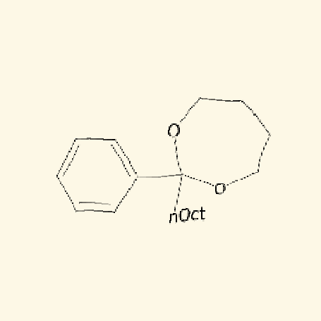 CCCCCCCCC1(c2ccccc2)OCCCCO1